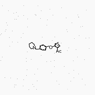 CC(=O)c1cscc1OCc1ccc(CN2CCCCC2)cc1